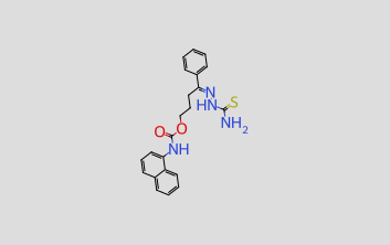 NC(=S)NN=C(CCCOC(=O)Nc1cccc2ccccc12)c1ccccc1